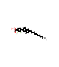 CCCCCCCCCCc1ccc2cc(-c3ccc(C(=O)O)c(F)c3F)ccc2c1